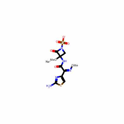 CO/N=C(\C(=O)NC1(OC)CN(S(=O)(=O)[O-])C1=O)c1csc(N)n1.[Na+]